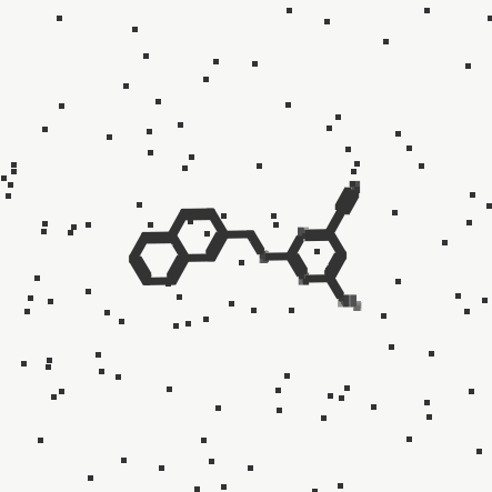 N#Cc1cc(N)nc(SCc2ccc3ccccc3c2)n1